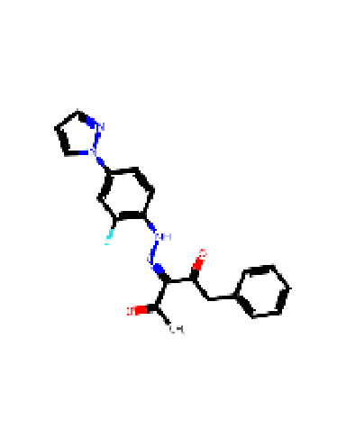 CC(=O)C(=NNc1ccc(-n2cccn2)cc1F)C(=O)Cc1ccccc1